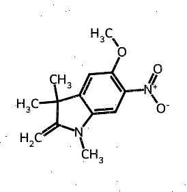 C=C1N(C)c2cc([N+](=O)[O-])c(OC)cc2C1(C)C